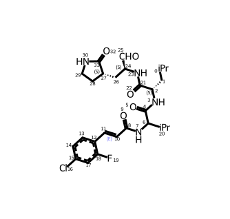 CC(C)C[C@H](NC(=O)C(NC(=O)/C=C/c1ccc(Cl)cc1F)C(C)C)C(=O)N[C@H](C=O)C[C@@H]1CCNC1=O